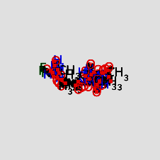 COc1ccc(C(O)C(NC(=O)C(C)NC(=O)CN2CCOCC2)C(=O)NC(CC2=CCCCC2)C(=O)C2(C)CO2)cc1-c1cc(C(O)C(NC(=O)C(C)NC(=O)CN2CCOCC2)C(=O)NC(CC2=CCC(C3CCC(CC(NC(=O)C(Cc4ccc(OC(F)(F)F)cc4)NC(=O)C(C)NC(=O)CN4CCOCC4)C(=O)C4(C)CO4)C3)C2)C(=O)C2(C)CO2)ccc1OC